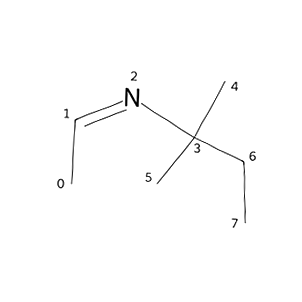 C/C=N\C(C)(C)CC